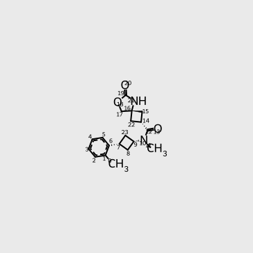 Cc1ccccc1[C@H]1C[C@@H](N(C)C(=O)[C@H]2C[C@]3(COC(=O)N3)C2)C1